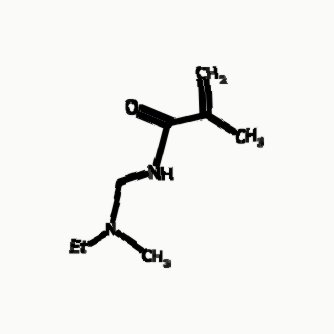 C=C(C)C(=O)NCN(C)CC